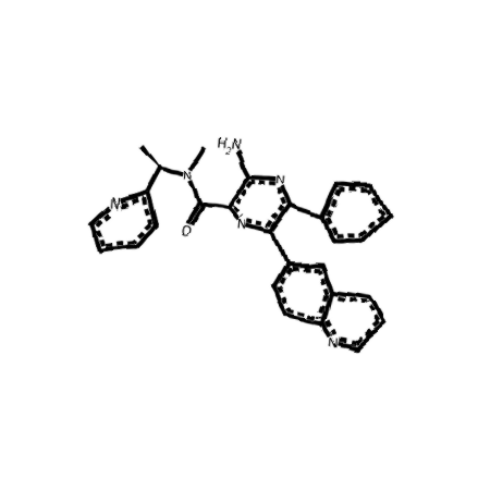 C[C@H](c1ccccn1)N(C)C(=O)c1nc(-c2ccc3ncccc3c2)c(-c2ccccc2)nc1N